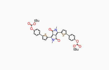 CN1C(=O)C2=C(c3ccc(-c4ccc(OC(=O)OC(C)(C)C)cc4)s3)N(C)C(=O)C2=C1c1ccc(-c2ccc(OC(=O)OC(C)(C)C)cc2)s1